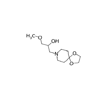 COCC(O)CN1CCC2(CC1)OCCO2